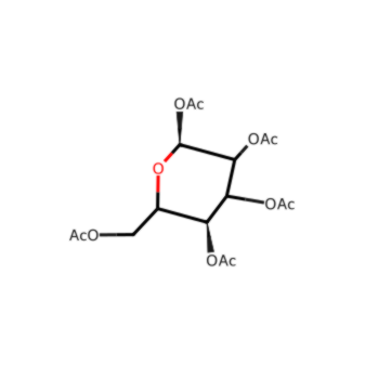 CC(=O)OCC1O[C@@H](OC(C)=O)C(OC(C)=O)C(OC(C)=O)[C@H]1OC(C)=O